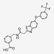 O=C(Cc1nc2ccc(Oc3cccc(C(F)(F)F)c3)cc2s1)NCc1cccc(C(=O)O)c1